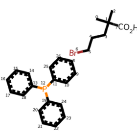 CC(C)(CCCBr)C(=O)O.c1ccc(P(c2ccccc2)c2ccccc2)cc1